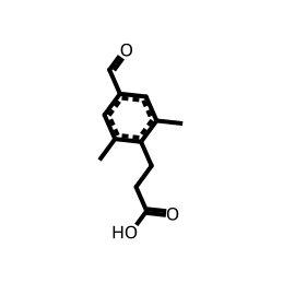 Cc1cc(C=O)cc(C)c1CCC(=O)O